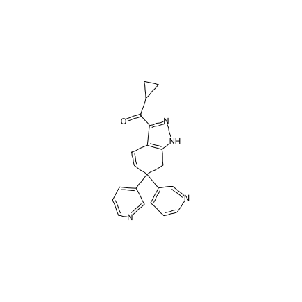 O=C(c1n[nH]c2c1C=CC(c1cccnc1)(c1cccnc1)C2)C1CC1